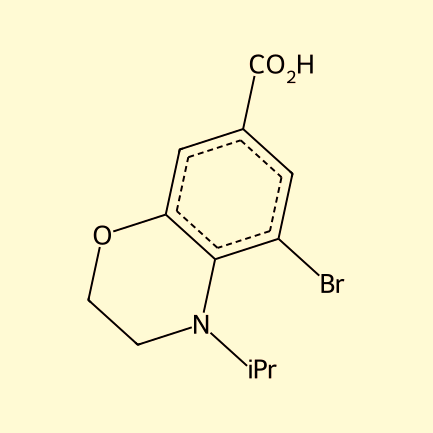 CC(C)N1CCOc2cc(C(=O)O)cc(Br)c21